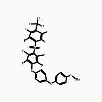 CCC(C)Sc1ccc(Sc2ccc(Sc3c(F)c(F)c(S(=O)(=O)c4c(F)c(F)c(C(C)(CC)CC)c(F)c4F)c(F)c3F)cc2)cc1